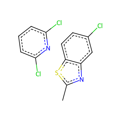 Cc1nc2cc(Cl)ccc2s1.Clc1cccc(Cl)n1